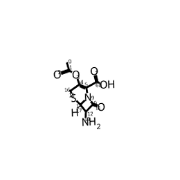 CC(=O)OC1=C(C(=O)O)N2C(=O)C(N)[C@H]2SC1